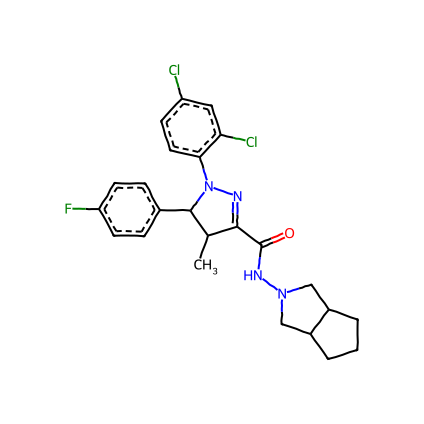 CC1C(C(=O)NN2CC3CCCC3C2)=NN(c2ccc(Cl)cc2Cl)C1c1ccc(F)cc1